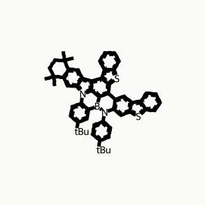 CC(C)(C)c1ccc(N2B3c4cc(C(C)(C)C)ccc4-n4c5cc6c(cc5c5c7c(sc8ccccc87)c(c3c54)-c3cc4c(cc32)sc2ccccc24)C(C)(C)CCC6(C)C)cc1